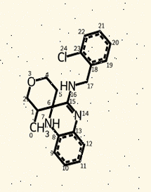 CC1COCCC12Nc1ccccc1N=C2NCc1ccccc1Cl